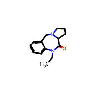 CCN1C(=O)C2CCCN2Cc2ccccc21